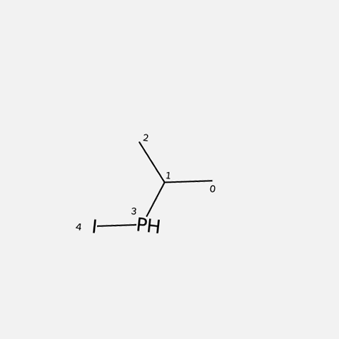 CC(C)PI